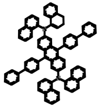 C1=C(N(c2ccc3c(-c4ccc(-c5ccccc5)cc4)c4cc(N(c5cccc6ccccc56)c5cccc6ccccc56)ccc4c(-c4ccc(-c5ccccc5)cc4)c3c2)c2cccc3ccccc23)c2ccccc2CC1